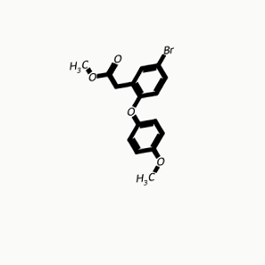 COC(=O)Cc1cc(Br)ccc1Oc1ccc(OC)cc1